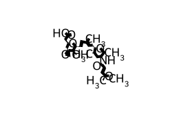 CO[C@@H](C)C=CC(=O)N[C@@H]1C[C@H](C)[C@H](CC=C(C)C=C[C@H]2O[C@H](CC(=O)O)C[C@@]3(CO3)[C@@H]2O)O[C@@H]1C